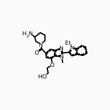 CCn1c(-c2nc3cc(C(=O)N4CCCC(N)C4)cc(OCCO)c3n2C)cc2ccccc21